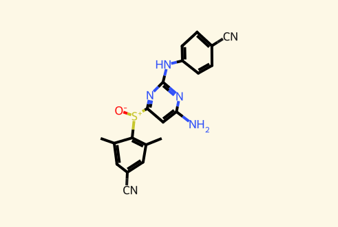 Cc1cc(C#N)cc(C)c1[S+]([O-])c1cc(N)nc(Nc2ccc(C#N)cc2)n1